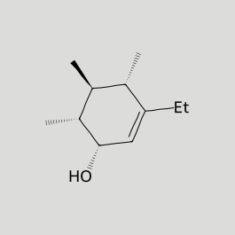 CCC1=C[C@H](O)[C@H](C)[C@@H](C)[C@@H]1C